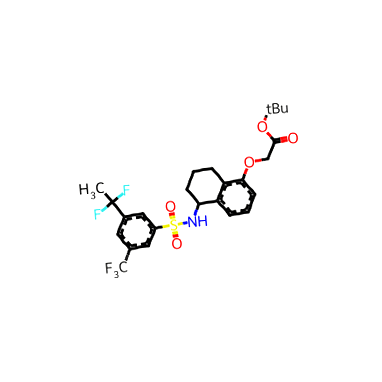 CC(C)(C)OC(=O)COc1cccc2c1CCCC2NS(=O)(=O)c1cc(C(C)(F)F)cc(C(F)(F)F)c1